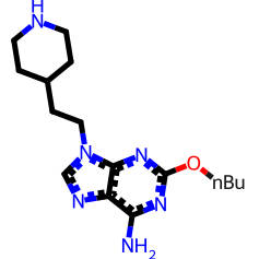 CCCCOc1nc(N)c2ncn(CCC3CCNCC3)c2n1